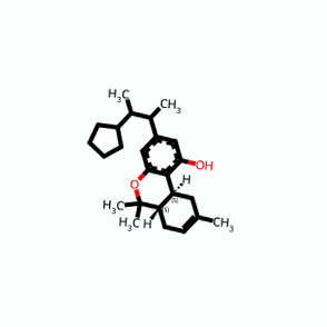 CC1=CC[C@H]2[C@H](C1)c1c(O)cc(C(C)C(C)C3CCCC3)cc1OC2(C)C